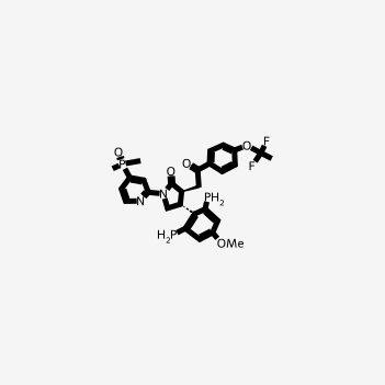 COc1cc(P)c([C@@H]2CN(c3cc(P(C)(C)=O)ccn3)C(=O)[C@H]2CC(=O)c2ccc(OC(C)(F)F)cc2)c(P)c1